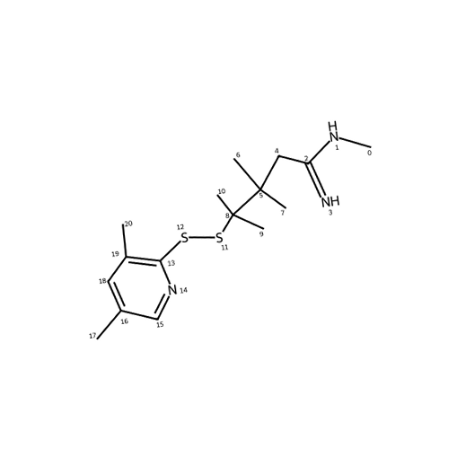 CNC(=N)CC(C)(C)C(C)(C)SSc1ncc(C)cc1C